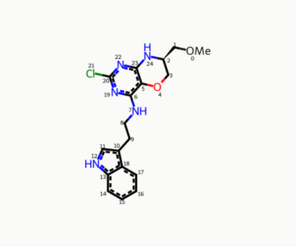 COC[C@H]1COc2c(NCCc3c[nH]c4ccccc34)nc(Cl)nc2N1